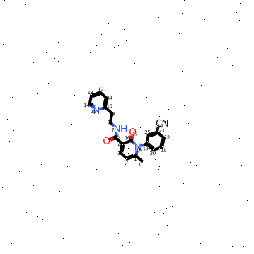 Cc1ccc(C(=O)NCCc2ccccn2)c(=O)n1-c1cccc(C#N)c1